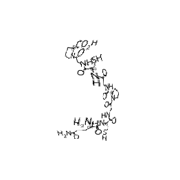 NC(=O)CC[C@H](N)C(=O)N[C@@H](CS)C(=O)NCC(=O)N1CCC[C@H]1C(=O)NCC(=O)N[C@@H](CS)C(=O)NCC(=O)N1CCC[C@H]1C(=O)O